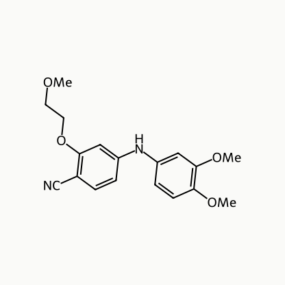 COCCOc1cc(Nc2ccc(OC)c(OC)c2)ccc1C#N